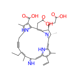 C=Cc1c(C)/c2[nH]/c1=C\C(=N)/C(C)=C(/CC)C#CCc1[nH]c(c(C(=O)O)c1C)/C(CC(=O)O)=C1N=C(/C=2)[C@@H](C)[C@@H]\1CCC(=O)O